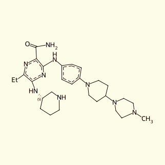 CCc1nc(C(N)=O)c(Nc2ccc(N3CCC(N4CCN(C)CC4)CC3)cc2)nc1N[C@H]1CCCNC1